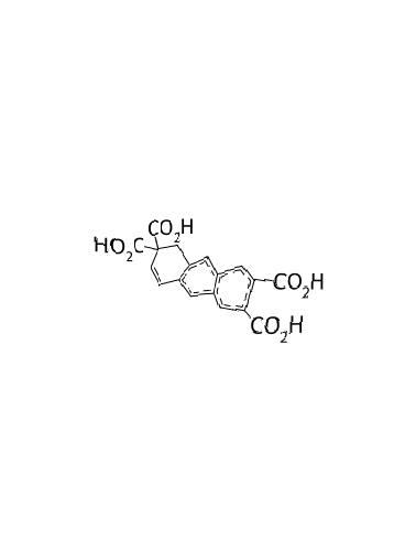 O=C(O)c1cc2cc3c(cc2cc1C(=O)O)CC(C(=O)O)(C(=O)O)C=C3